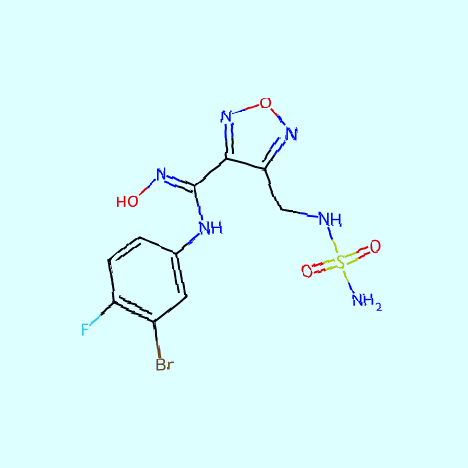 NS(=O)(=O)NCc1nonc1/C(=N/O)Nc1ccc(F)c(Br)c1